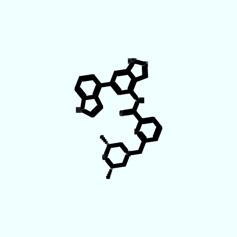 C[C@@H]1CN(Cc2cccc(C(=O)Nc3cc(-c4cccc5[nH]ccc45)cc4[nH]ncc34)n2)C[C@H](C)O1